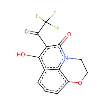 O=C(c1c(O)c2cccc3c2n(c1=O)CCO3)C(F)(F)F